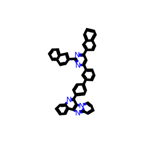 c1cc(-c2ccc(-c3nc4ccccc4c4nc5ccccn5c34)cc2)cc(-c2cc(-c3ccc4ccccc4c3)nc(-c3ccc4ccccc4c3)n2)c1